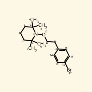 CC1(C)CCCC(C)(C)N1OCCc1ccc(Br)cc1